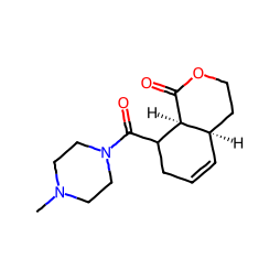 CN1CCN(C(=O)C2CC=C[C@@H]3CCOC(=O)[C@H]23)CC1